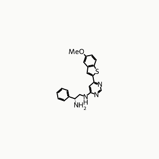 COc1ccc2sc(-c3cc(NC[C@H](N)c4ccccc4)ncn3)cc2c1